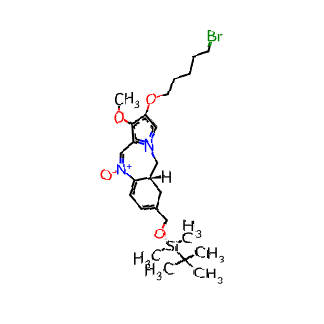 COc1c(OCCCCCBr)cn2c1C=[N+]([O-])C1=CC=C(CO[Si](C)(C)C(C)(C)C)C[C@H]1C2